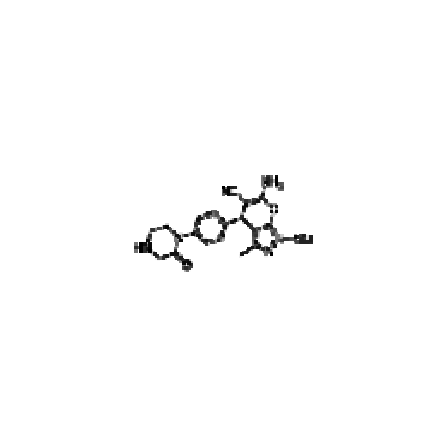 Cc1nn(C(C)(C)C)c2c1C(c1ccc(N3CCNCC3=O)cc1)C(C#N)=C(N)O2